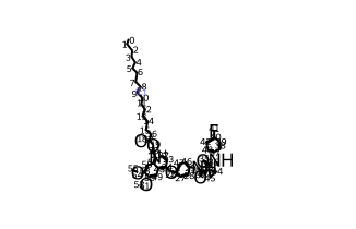 CCCCCCCC/C=C/CCCCCCCC(=O)OC[n+]1ccc(Oc2ccc(NC(=O)C3(C(=O)Nc4ccc(F)cc4)CC3)cc2)c2cc(OC)c(OC)cc21